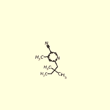 CCC(C)(C)Cc1cc(C)c(C#N)cn1